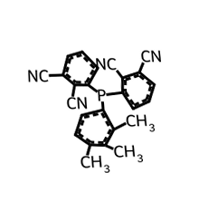 Cc1ccc(P(c2cccc(C#N)c2C#N)c2cccc(C#N)c2C#N)c(C)c1C